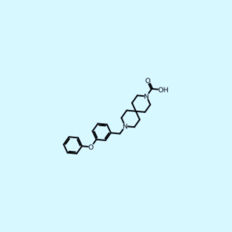 O=C(O)N1CCC2(CCN(Cc3cccc(Oc4ccccc4)c3)CC2)CC1